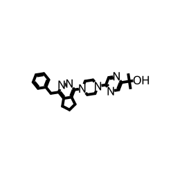 CC(C)(O)c1cnc(N2CCN(c3nnc(Cc4ccccc4)c4c3CCC4)CC2)cn1